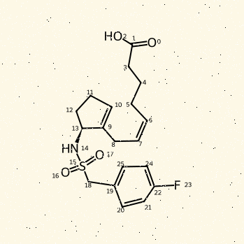 O=C(O)CCC/C=C\CC1=CCC[C@@H]1NS(=O)(=O)Cc1ccc(F)cc1